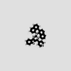 c1ccc2c3c(ccc2c1)-c1cccc2cccc(c12)N3c1nc(-c2ccncc2)c2sc3ccccc3c2n1